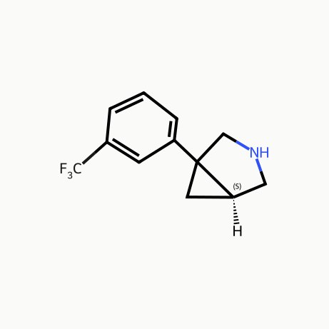 FC(F)(F)c1cccc(C23CNC[C@H]2C3)c1